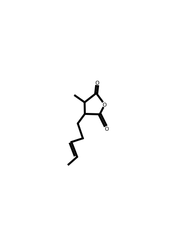 CC=CCCC1C(=O)OC(=O)C1C